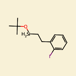 CC(C)(C)O[SiH2]CCc1ccccc1I